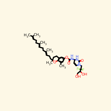 CC(C)=CCC/C(C)=C/CC/C(C)=C/CCC1(C)CCc2cc(OC(=O)NC3C=CN(CC(F)(F)C(O)CO)C(=O)N3)cc(C)c2O1